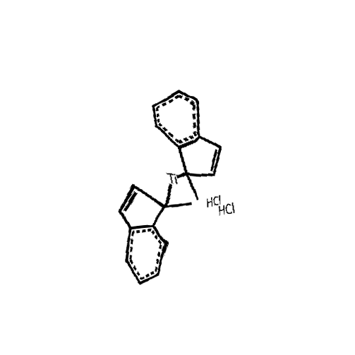 C[C]1([Ti][C]2(C)C=Cc3ccccc32)C=Cc2ccccc21.Cl.Cl